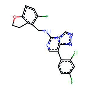 Fc1ccc(-c2cnc(NCc3c(F)ccc4c3CCO4)n3cnnc23)c(Cl)c1